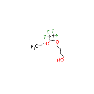 OCCCCOC1C(OCCC(F)(F)F)C(F)(F)C1(F)F